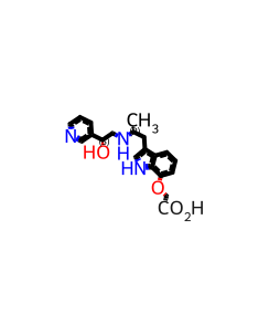 C[C@H](Cc1c[nH]c2c(OCC(=O)O)cccc12)NC[C@@H](O)c1cccnc1